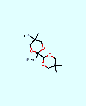 CCCC(C)C1(C2OCC(C)(C)CO2)OCC(C)(CCC)CO1